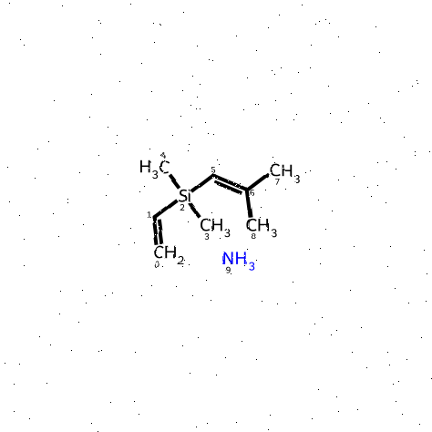 C=C[Si](C)(C)C=C(C)C.N